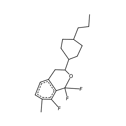 CCCC1CCC(C2Cc3ccc(C)c(F)c3C(F)(F)O2)CC1